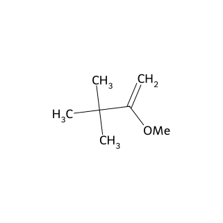 C=C(OC)C(C)(C)C